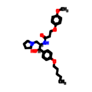 CCCCCOc1ccc([C@@H](O)[C@@H](CN2CCCC2)NC(=O)CCOc2ccc(OC)cc2)cc1